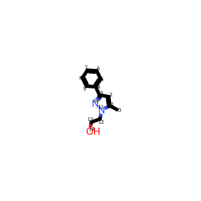 Cc1cc(-c2ccccc2)nn1CCO